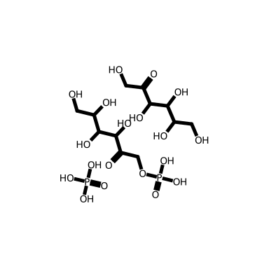 O=C(CO)C(O)C(O)C(O)CO.O=C(COP(=O)(O)O)C(O)C(O)C(O)CO.O=P(O)(O)O